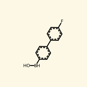 OBc1ccc(-c2ccc(F)cc2)cc1